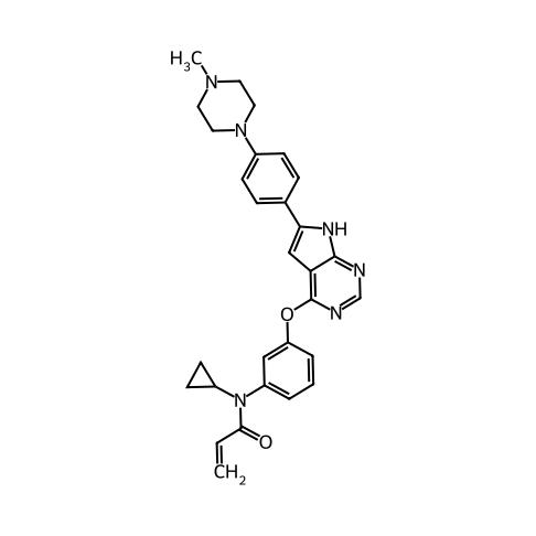 C=CC(=O)N(c1cccc(Oc2ncnc3[nH]c(-c4ccc(N5CCN(C)CC5)cc4)cc23)c1)C1CC1